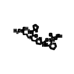 CN(C)CCCN(Cc1ccc(C(=O)Nc2ccccc2NC(=O)OC(C)(C)C)nc1)C(=O)Nc1cccs1